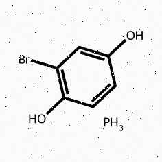 Oc1ccc(O)c(Br)c1.P